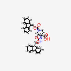 O=C(NC1(C(=O)O)CCN(C(=O)OCC2c3ccccc3-c3ccccc32)CC1)OCC1c2ccccc2-c2ccccc21